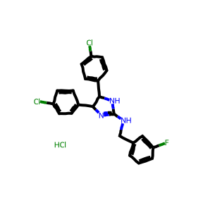 Cl.Fc1cccc(CNC2=NC(c3ccc(Cl)cc3)C(c3ccc(Cl)cc3)N2)c1